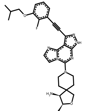 CC(C)COc1cccc(C#Cc2n[nH]c3nc(N4CCC5(CC4)CO[C@@H](C)[C@H]5N)n4ccnc4c23)c1F